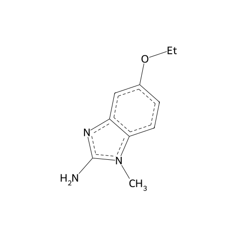 CCOc1ccc2c(c1)nc(N)n2C